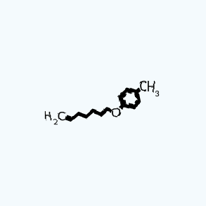 C=CCCCCCOc1ccc(C)cc1